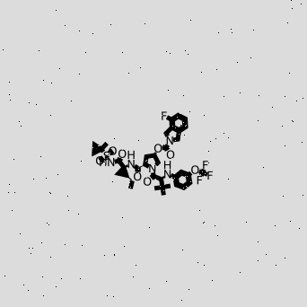 CC[C@@H]1C[C@]1(NC(=O)[C@@H]1C[C@@H](OC(=O)N2Cc3cccc(F)c3C2)CN1C(=O)[C@@H](Nc1cccc(OC(F)(F)F)c1)C(C)(C)C)C(=O)NS(=O)(=O)C1(C)CC1